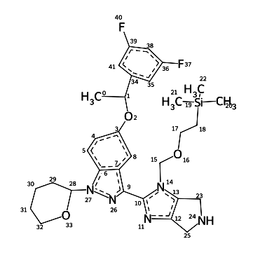 CC(Oc1ccc2c(c1)c(-c1nc3c(n1COCC[Si](C)(C)C)CNC3)nn2C1CCCCO1)c1cc(F)cc(F)c1